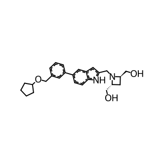 OC[C@H]1C[C@H](CO)N1Cc1cc2cc(-c3cccc(COC4CCCC4)c3)ccc2[nH]1